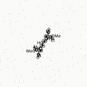 CCOc1cc2c(cc1OC)C(c1ccc(=O)n(C)c1)=N[C@H]1CC[C@H](OC(=O)CC(O)C(=O)O[C@H]3CC[C@@H]4N=C(c5ccc(=O)n(C)c5)c5cc(OC)c(OCC)cc5[C@@H]4C3)C[C@@H]21